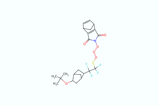 CC(C)(C)OC1CC2CC1CC2C(F)(F)C(F)(F)SOOON1C(=O)C2=C(C1=O)C1C=CC2C1